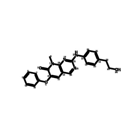 Cn1c(=O)c(Oc2ccccc2)cc2cnc(Nc3ccc(CCO)cc3)nc21